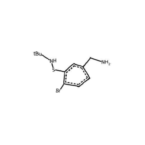 CC(C)(C)NSc1cc(CN)ccc1Br